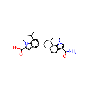 CC(C)c1cc(C(C)CC(C)c2cccc3c(C(N)=O)cn(C)c23)cc2cc(C(=O)O)n(C)c12